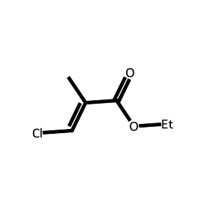 [CH2]COC(=O)C(C)=CCl